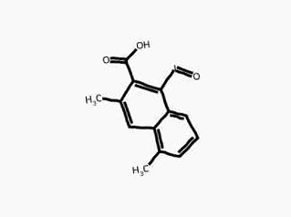 Cc1cc2c(C)cccc2c(I=O)c1C(=O)O